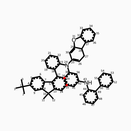 CC(C)(C)c1ccc2c(c1)C(C)(C)c1cccc(-c3ccccc3N(C3=CCC4C(=C3)Oc3ccccc34)c3cccc(Nc4ccccc4-c4ccccc4)c3)c1-2